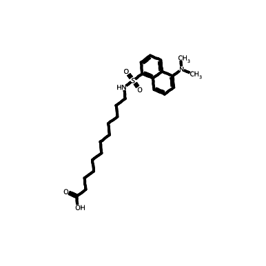 CN(C)c1cccc2c(S(=O)(=O)NCCCCCCCCCCCC(=O)O)cccc12